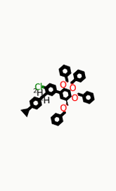 [2H]C([2H])(c1ccc(C2CC2)cc1)c1cc(C2=C[C@H](COCc3ccccc3)[C@@H](OCc3ccccc3)[C@H](OCc3ccccc3)[C@H]2OCc2ccccc2)ccc1Cl